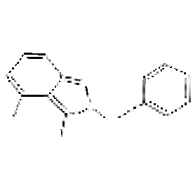 Cc1cccc2nn(Nc3ccccc3)c(C)c12